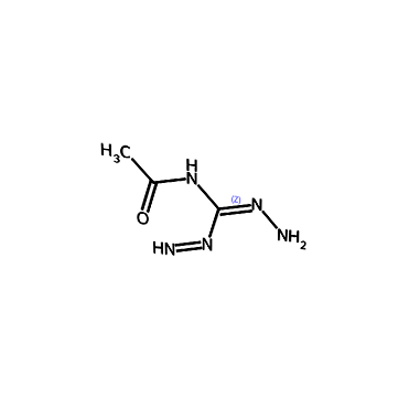 CC(=O)N/C(N=N)=N/N